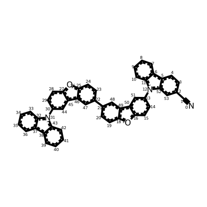 N#Cc1ccc2c3ccccc3n(-c3ccc4oc5ccc(-c6ccc7oc8ccc(-n9c%10ccccc%10c%10ccccc%109)cc8c7c6)cc5c4c3)c2c1